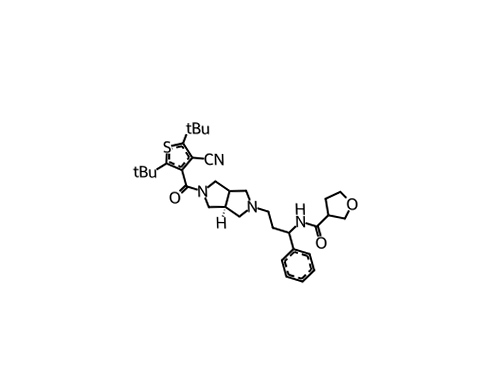 CC(C)(C)c1sc(C(C)(C)C)c(C(=O)N2CC3CN(CCC(NC(=O)C4CCOC4)c4ccccc4)C[C@H]3C2)c1C#N